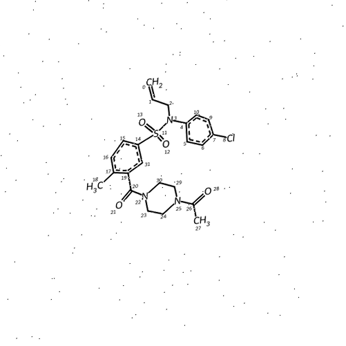 C=CCN(c1ccc(Cl)cc1)S(=O)(=O)c1ccc(C)c(C(=O)N2CCN(C(C)=O)CC2)c1